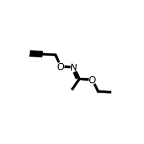 C#CCO/N=C(\C)OCC